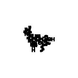 CCCCC(=O)N(Cc1ccc(-c2cc(-c3cc(C)ccn3)ccc2-c2nn[nH]n2)cc1)C(C(=O)O)C(C)C